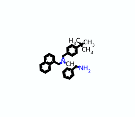 CN(Cc1ccc(C(C)(C)C)cc1)Cc1cccc2ccccc12.NCc1ccccc1